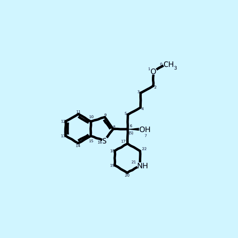 COCCCC[C@@](O)(c1cc2ccccc2s1)C1CCCNC1